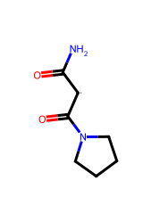 NC(=O)[CH]C(=O)N1CCCC1